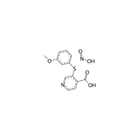 COc1cccc(Sc2cnccc2C(=O)O)c1.O=NO